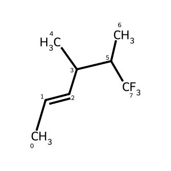 CC=CC(C)C(C)C(F)(F)F